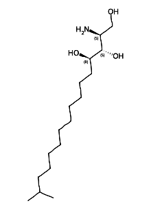 CC(C)CCCCCCCCCC[C@@H](O)[C@@H](O)[C@@H](N)CO